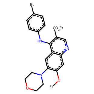 CCOC(=O)c1cnc2cc(OCC)c(N3CCOCC3)cc2c1Nc1ccc(CC)cc1